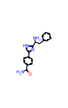 NC(=O)c1ccc(-c2c[nH]c(C(N)Cc3ccccc3)n2)cc1